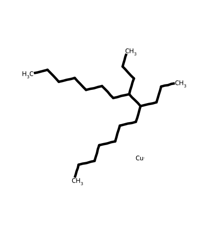 CCCCCCCC(CCC)C(CCC)CCCCCCC.[Cu]